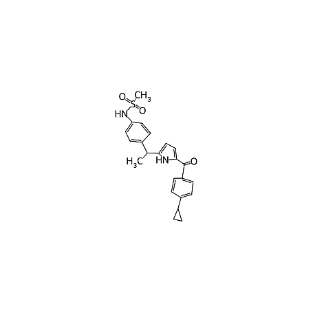 CC(c1ccc(NS(C)(=O)=O)cc1)c1ccc(C(=O)c2ccc(C3CC3)cc2)[nH]1